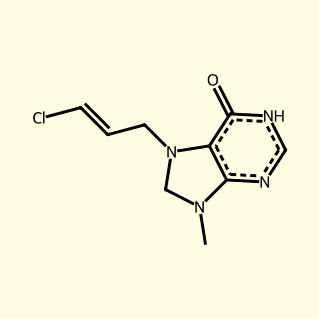 CN1CN(CC=CCl)c2c1nc[nH]c2=O